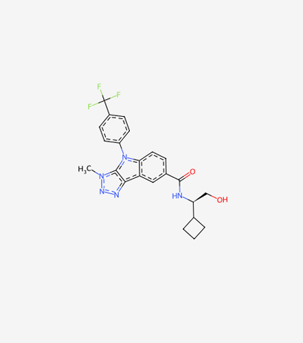 Cn1nnc2c3cc(C(=O)N[C@@H](CO)C4CCC4)ccc3n(-c3ccc(C(F)(F)F)cc3)c21